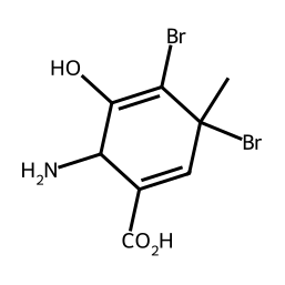 CC1(Br)C=C(C(=O)O)C(N)C(O)=C1Br